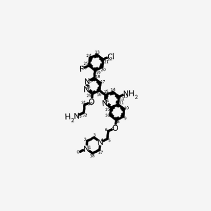 CN1CCN(CCOc2ccc3c(N)cc(-c4cc(-c5cc(Cl)ccc5F)nnc4OCCN)nc3c2)CC1